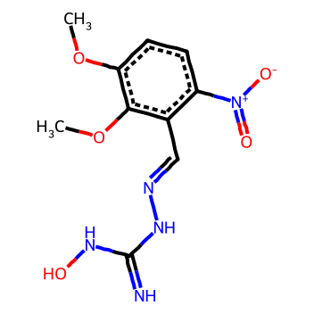 COc1ccc([N+](=O)[O-])c(C=NNC(=N)NO)c1OC